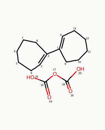 C1=C(C2=CCCCCC2)CCCCC1.O=C(O)OC(=O)O